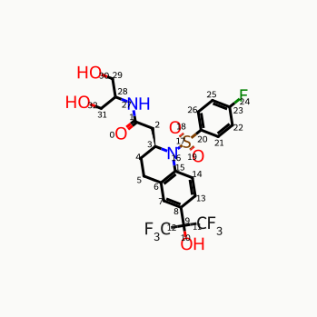 O=C(C[C@@H]1CCc2cc(C(O)(C(F)(F)F)C(F)(F)F)ccc2N1S(=O)(=O)c1ccc(F)cc1)NC(CO)CO